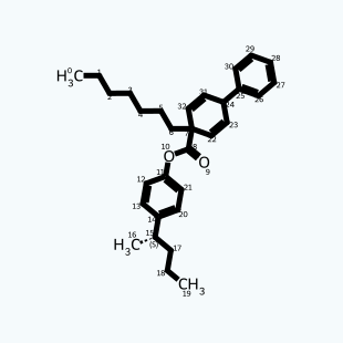 CCCCCCCC1(C(=O)Oc2ccc([C@@H](C)CCC)cc2)C=CC(c2ccccc2)C=C1